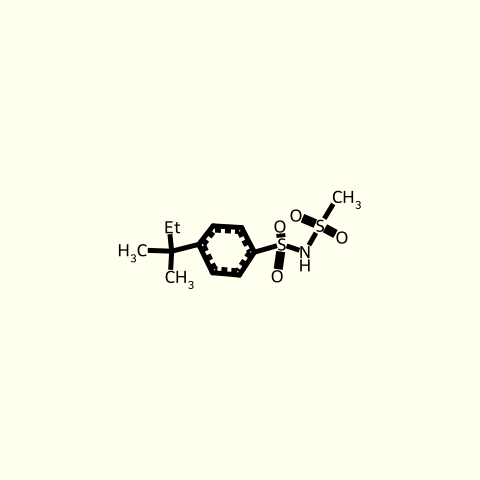 CCC(C)(C)c1ccc(S(=O)(=O)NS(C)(=O)=O)cc1